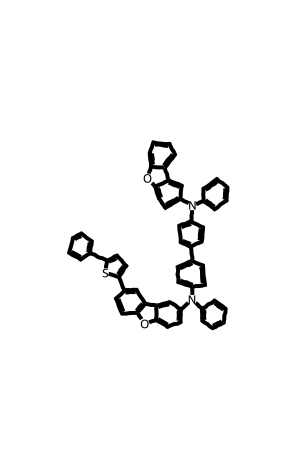 c1ccc(-c2ccc(-c3ccc4oc5ccc(N(c6ccccc6)c6ccc(-c7ccc(N(c8ccccc8)c8ccc9oc%10ccccc%10c9c8)cc7)cc6)cc5c4c3)s2)cc1